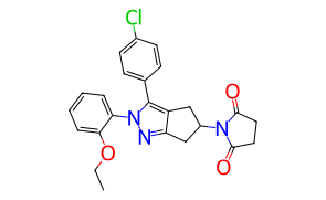 CCOc1ccccc1-n1nc2c(c1-c1ccc(Cl)cc1)CC(N1C(=O)CCC1=O)C2